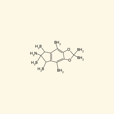 Bc1c2c(c(B)c3c1C(B)C(B)(N)C3B)OC(B)(B)O2